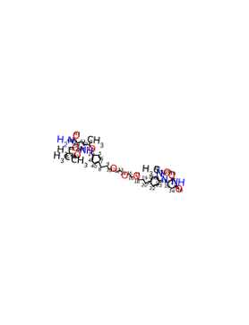 C[C@@H](OCc1ccc(CCCOCCOCCOCCCc2ccc3c(c2)n(C)c(=O)n3C2CCC(=O)NC2=O)cc1)[C@H](CCC(N)=O)NC(=O)OC(C)(C)C